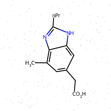 CCCc1nc2c(C)cc(CC(=O)O)cc2[nH]1